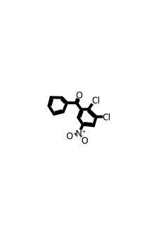 O=C(c1ccccc1)c1cc([N+](=O)[O-])cc(Cl)c1Cl